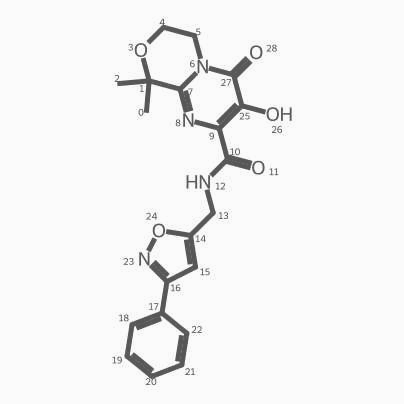 CC1(C)OCCn2c1nc(C(=O)NCc1cc(-c3ccccc3)no1)c(O)c2=O